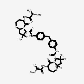 CN[C@@H](C)C(=O)N[C@H]1CCSC2CC(C)(C)[C@@H](C(=O)Nc3ccc(Cc4ccc(NC(=O)[C@H]5N6C(=O)[C@@H](NC(=O)[C@H](C)NC)CCS[C@H]6CC5(C)C)cc4)cc3)N2C1=O